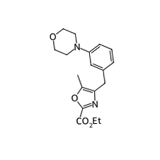 CCOC(=O)c1nc(Cc2cccc(N3CCOCC3)c2)c(C)o1